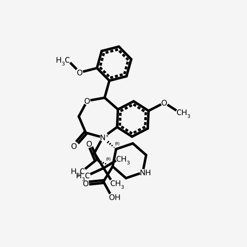 COc1ccc2c(c1)C(c1ccccc1OC)OCC(=O)[N+]2(CC(C)(C)C)[C@@H]1CCNC[C@@]1(C(C)=O)C(=O)O